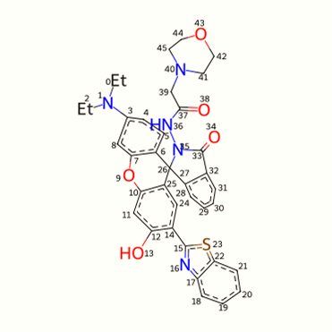 CCN(CC)c1ccc2c(c1)Oc1cc(O)c(-c3nc4ccccc4s3)cc1C21c2ccccc2C(=O)N1NC(=O)CN1CCOCC1